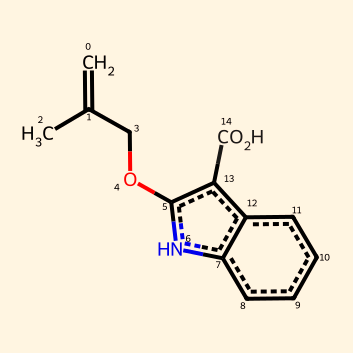 C=C(C)COc1[nH]c2ccccc2c1C(=O)O